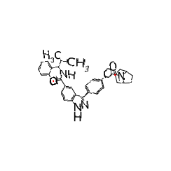 CC(C)C(NC(=O)c1ccc2[nH]nc(-c3ccc(OC4CC5CCC(C4)N5C=O)cc3)c2c1)c1ccccc1Cl